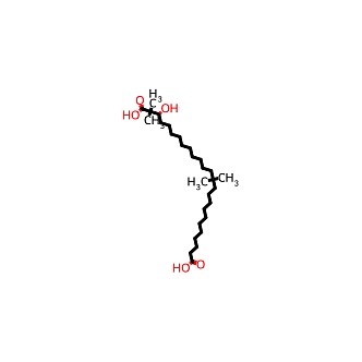 CC(C)(CCCCCCCCCCC(=O)O)CCCCCCCCCCC(O)C(C)(C)C(=O)O